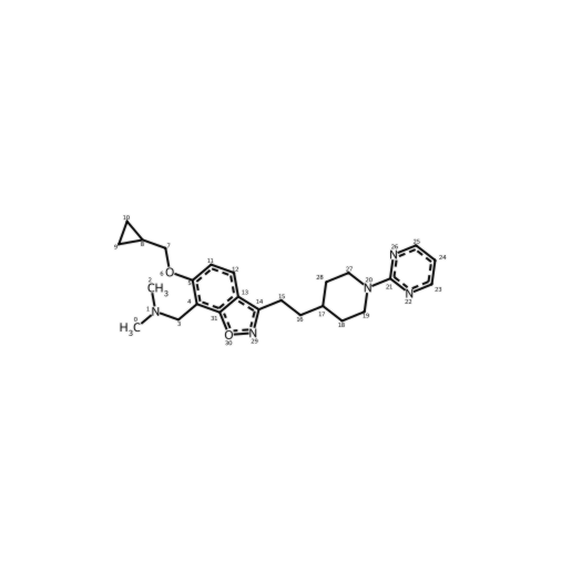 CN(C)Cc1c(OCC2CC2)ccc2c(CCC3CCN(c4ncccn4)CC3)noc12